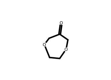 O=C1COCCOC1